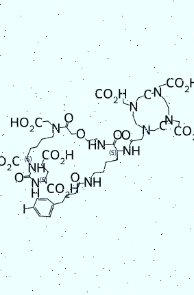 O=C(O)CC[C@H](NC(=O)N[C@@H](CCCCN(CC(=O)O)C(=O)COCCNC(=O)[C@H](CCCCNC(=O)CCCc1ccc(I)cc1)NC(=O)CN1CCN(CC(=O)O)CCN(CC(=O)O)CCN(CC(=O)O)CC1)C(=O)O)C(=O)O